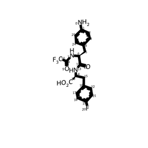 Nc1ccc(C[C@H](NC(=O)C(F)(F)F)C(=O)N[C@@H](Cc2ccc(F)cc2)C(=O)O)cc1